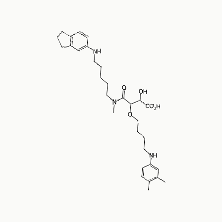 Cc1ccc(NCCCCOC(C(=O)N(C)CCCCCNc2ccc3c(c2)CCC3)C(O)C(=O)O)cc1C